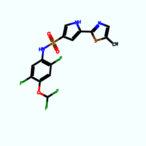 N#Cc1cnc(-c2cc(S(=O)(=O)Nc3cc(F)c(OC(F)F)cc3F)c[nH]2)s1